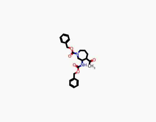 CC(=O)C1CCCN(C(=O)OCc2ccccc2)CC1NC(=O)OCc1ccccc1